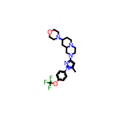 Cc1cc(N2CCN3CCC(N4CCOCC4)CC3C2)nn1-c1ccc(OC(F)(F)F)cc1